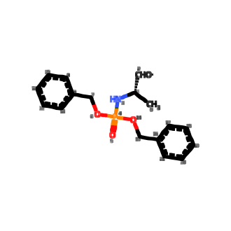 C[C@@H]([C]=O)NP(=O)(OCc1ccccc1)OCc1ccccc1